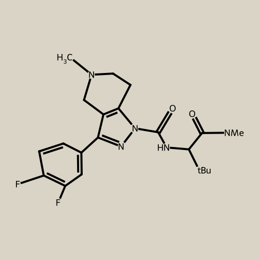 CNC(=O)C(NC(=O)n1nc(-c2ccc(F)c(F)c2)c2c1CCN(C)C2)C(C)(C)C